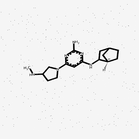 CNC1CCN(c2cc(NC3CC4CC[C@@H]3C4)nc(N)n2)C1